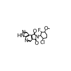 COC1CCC(Cl)C(N2C(=O)c3cnc4[nH]ncc4c3C2=O)C1F